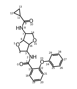 O=C(NC1COC2C(NC(=O)C3CC3)COC12)c1ccccc1Oc1ccccc1